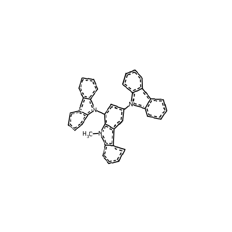 Cn1c2ccccc2c2cc(-n3c4ccccc4c4ccccc43)cc(-n3c4ccccc4c4ccccc43)c21